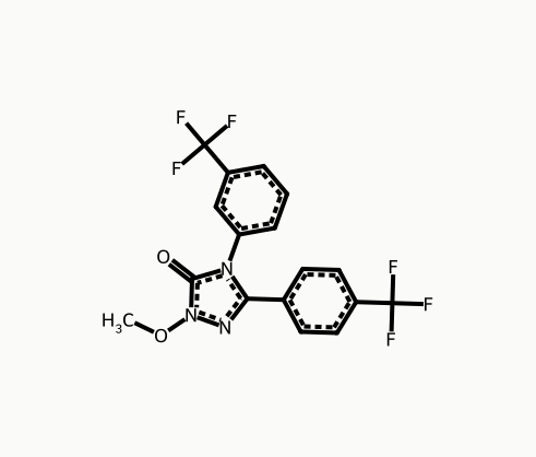 COn1nc(-c2ccc(C(F)(F)F)cc2)n(-c2cccc(C(F)(F)F)c2)c1=O